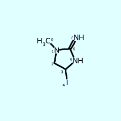 CN1CC(I)NC1=N